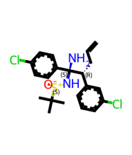 C=CC[C@H](c1cccc(Cl)c1)[C@](N)(N[S@+]([O-])C(C)(C)C)c1ccc(Cl)cc1